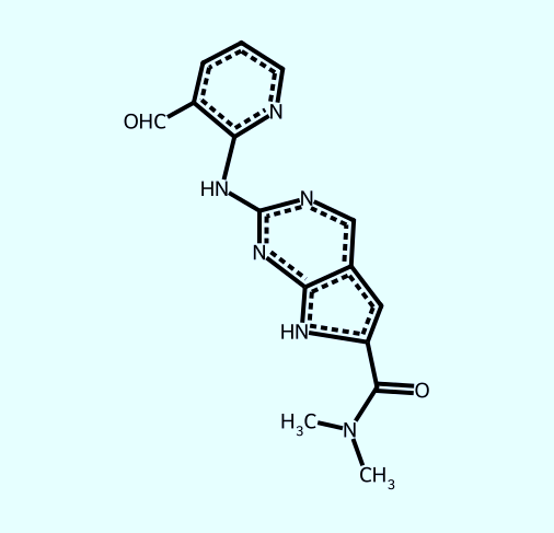 CN(C)C(=O)c1cc2cnc(Nc3ncccc3C=O)nc2[nH]1